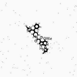 COc1cnc(-n2ccc(C)n2)c2[nH]cc(C(=O)C(=O)N3CCC(=C(c4ccccc4)c4csc(C)n4)CC3)c12